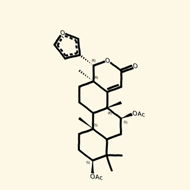 CC(=O)O[C@H]1CC[C@@]2(C)C(C[C@H](OC(C)=O)[C@@]3(C)C4=CC(=O)O[C@@H](c5ccoc5)[C@]4(C)CCC23)C1(C)C